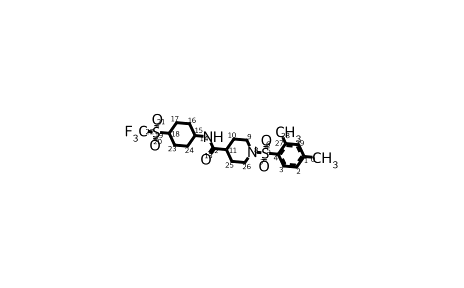 Cc1ccc(S(=O)(=O)N2CCC(C(=O)NC3CCC(S(=O)(=O)C(F)(F)F)CC3)CC2)c(C)c1